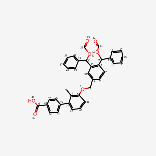 Cc1c(OCc2ccc(C(OC=O)c3ccccc3)c(C(OC=O)c3ccccc3)c2)cccc1-c1ccc(C(=O)O)cc1